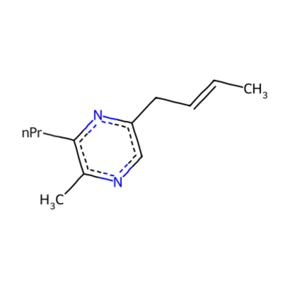 C/C=C/Cc1cnc(C)c(CCC)n1